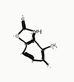 Cc1c(F)ccc2oc(=O)[nH]c12